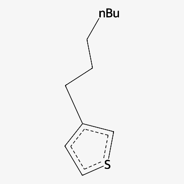 CC[CH]CCCCc1ccsc1